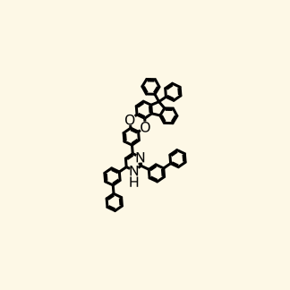 C1=C(c2ccc3c(c2)Oc2c(ccc4c2-c2ccccc2C4(c2ccccc2)c2ccccc2)O3)N=C(c2cccc(-c3ccccc3)c2)NC1c1cccc(-c2ccccc2)c1